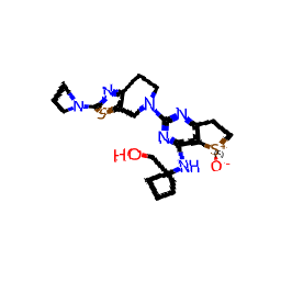 [O-][S@+]1CCc2nc(N3CCc4nc(N5CCC5)sc4C3)nc(NC3(CO)CCC3)c21